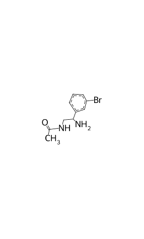 CC(=O)NCC(N)c1cccc(Br)c1